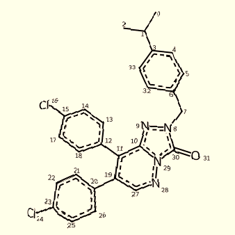 CC(C)c1ccc(Cn2nc3c(-c4ccc(Cl)cc4)c(-c4ccc(Cl)cc4)cnn3c2=O)cc1